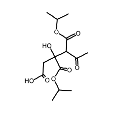 CC(=O)C(C(=O)OC(C)C)C(O)(CC(=O)O)C(=O)OC(C)C